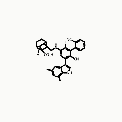 N#Cc1ccccc1-c1c(F)c(NCC2C3CCC(CC3)[C@H]2C(=O)O)nc(-c2c[nH]c3c(F)cc(F)cc23)c1C#N